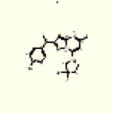 Cc1cc(N2CCC(F)(F)C2)n2nc(C(C)c3ccc(Cl)cc3)cc2n1